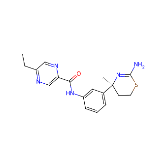 CCc1cnc(C(=O)Nc2cccc([C@]3(C)CCSC(N)=N3)c2)cn1